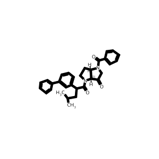 CC(C)CC(C(=O)N1CC[C@@H]2[C@H]1C(=O)CN2C(=O)c1ccccc1)c1cccc(-c2ccccc2)c1